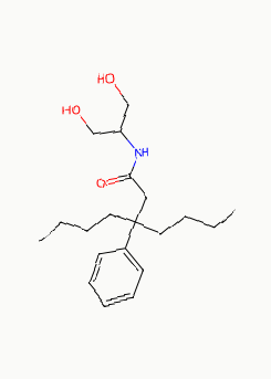 CCCCC(CCCC)(CC(=O)NC(CO)CO)c1ccccc1